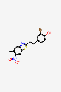 Cc1cc2nc(/C=C/c3ccc(O)c(Br)c3)sc2cc1[N+](=O)[O-]